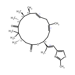 C/C1=C/C[C@@H](/C(C)=C/c2csc(C)n2)OC(=O)C[C@H](C)C(C)(C)C(=O)[C@H](C)[C@@H](C)[C@@H](C)/C=C/C1